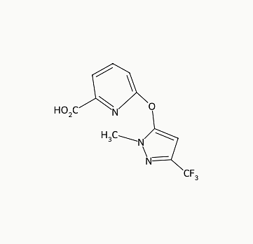 Cn1nc(C(F)(F)F)cc1Oc1cccc(C(=O)O)n1